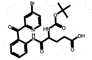 CC(C)(C)OC(=O)NC(CCC(=O)O)C(=O)Nc1ccccc1C(=O)c1cc(Br)ccn1